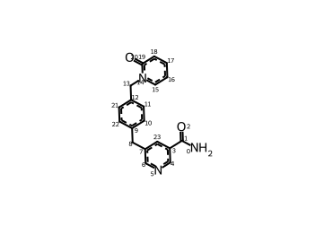 NC(=O)c1cncc(Cc2ccc(Cn3ccccc3=O)cc2)c1